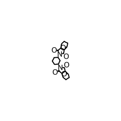 O=C1C2C3CCC(O3)C2C(=O)N1C1CCCC(N2C(=O)C3C4CCC(O4)C3C2=O)C1